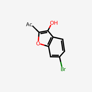 CC(=O)c1oc2cc(Br)ccc2c1O